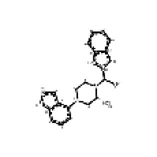 CCCC(N1CCN(c2cccc3sncc23)CC1)n1nc2ccccc2n1.Cl